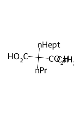 CCCCCCCC(CCC)(C(=O)O)C(=O)O.[CaH2]